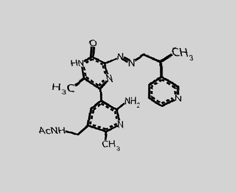 CC(=O)NCc1cc(-c2nc(N=NCC(C)c3cccnc3)c(=O)[nH]c2C)c(N)nc1C